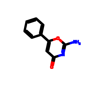 Nc1nc(=O)cc(-c2ccccc2)o1